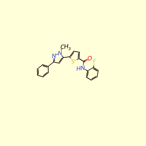 Cn1nc(-c2ccccc2)cc1-c1ccc(C(=O)Nc2ccccc2F)s1